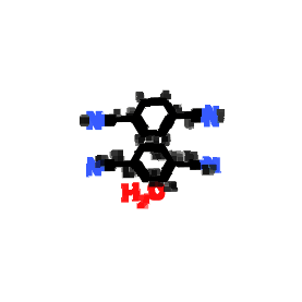 N#Cc1ccc(C#N)cc1.N#Cc1ccc(C#N)cc1.O